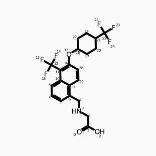 O=C(O)CNCc1cccc2c(C(F)(F)F)c(OC3CCC(C(F)(F)F)CC3)ccc12